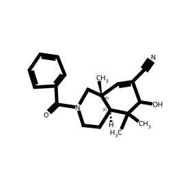 CC1(C)C(O)C(C#N)=C[C@@]2(C)CN(C(=O)c3ccccc3)CC[C@H]12